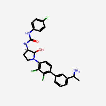 CC(N)c1cccc(-c2ccc(N3CC[C@@H](NC(=O)Nc4ccc(Cl)cc4)C3O)c(F)c2F)c1